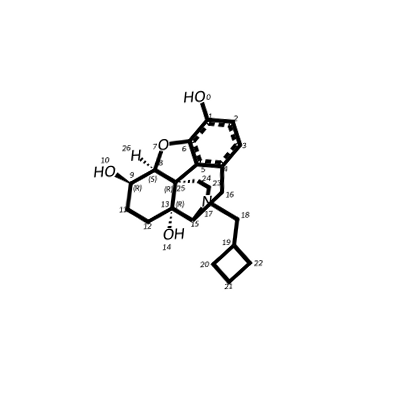 Oc1ccc2c3c1O[C@@H]1[C@H](O)CC[C@]4(O)C(C2)N(CC2CCC2)CC[C@@]314